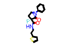 O=C(NCCc1cccs1)[C@@]1(F)CCN(c2ccccc2)C1=O